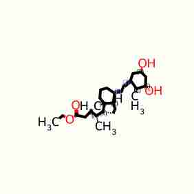 CCOC(=O)CC[C@@H](C)[C@H]1CC[C@H]2/C(=C/C=C3/C[C@@H](O)C[C@H](O)[C@@H]3C)CCC[C@]12C